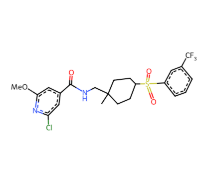 COc1cc(C(=O)NCC2(C)CCC(S(=O)(=O)c3cccc(C(F)(F)F)c3)CC2)cc(Cl)n1